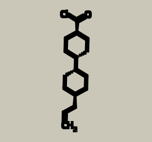 C=CC[C@H]1CC[C@H]([C@H]2CC[C@H](C(=O)Cl)CC2)CC1